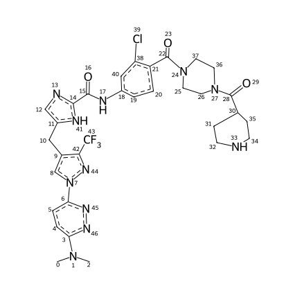 CN(C)c1ccc(-n2cc(Cc3cnc(C(=O)Nc4ccc(C(=O)N5CCN(C(=O)C6CCNCC6)CC5)c(Cl)c4)[nH]3)c(C(F)(F)F)n2)nn1